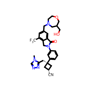 Cn1cnnc1C[C@]1(c2cccc(N3Cc4c(cc(CN5CCOCC(CO)C5)cc4C(F)(F)F)C3=O)c2)C[C@H](C#N)C1